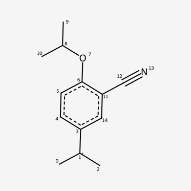 C[C](C)c1ccc(OC(C)C)c(C#N)c1